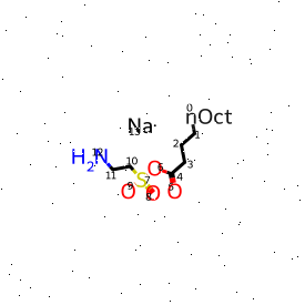 CCCCCCCCCCCC(=O)OS(=O)(=O)CCN.[Na]